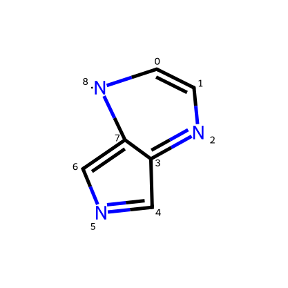 C1=CN=C2C=NC=C2[N]1